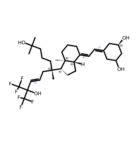 CC(C)(O)CCC[C@@](C)(C/C=C/C(O)(C(F)(F)F)C(F)(F)F)[C@H]1CC[C@H]2/C(=C/C=C3\CC(O)C[C@H](O)C3)CCC[C@]12C